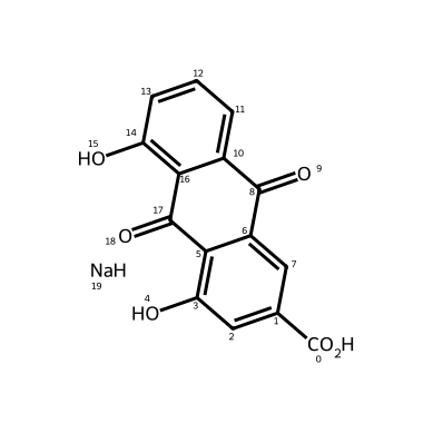 O=C(O)c1cc(O)c2c(c1)C(=O)c1cccc(O)c1C2=O.[NaH]